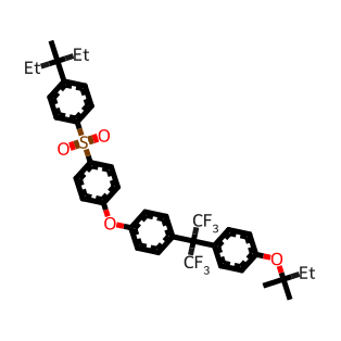 CCC(C)(C)Oc1ccc(C(c2ccc(Oc3ccc(S(=O)(=O)c4ccc(C(C)(CC)CC)cc4)cc3)cc2)(C(F)(F)F)C(F)(F)F)cc1